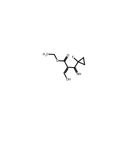 CCOC(=O)/C(=C/O)C(=N)C1(F)CC1